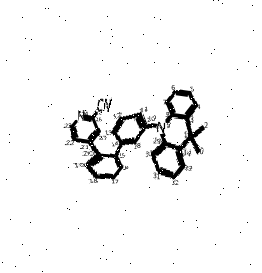 CC1(C)c2ccccc2N(c2cccc(-c3ccccc3-c3ccnc(C#N)c3)c2)c2ccccc21